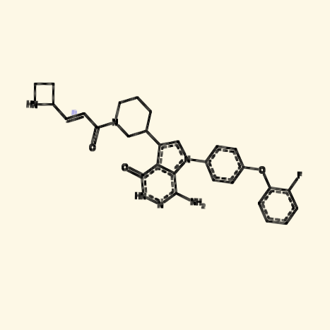 Nc1n[nH]c(=O)c2c(C3CCCN(C(=O)/C=C/C4CCN4)C3)cn(-c3ccc(Oc4ccccc4F)cc3)c12